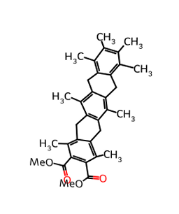 COC(=O)c1c(C)c2c(c(C)c1C(=O)OC)Cc1c(C)c3c(c(C)c1C2)Cc1c(C)c(C)c(C)c(C)c1C3